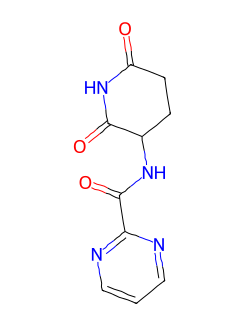 O=C1CCC(NC(=O)c2ncccn2)C(=O)N1